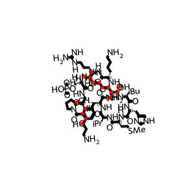 CCC(C)[C@H](NC(=O)[C@@H](N)CCCNC(=N)N)C(=O)N[C@H](Cc1c[nH]cn1)C(=O)N[C@@H](CCSC)C(=O)N[C@H](C(=O)N[C@@H](Cc1ccc(O)cc1)C(=O)N[C@@H](CO)C(=O)N[C@@H](CCCCN)C(=O)N[C@@H](CCCNC(=N)N)C(=O)N[C@@H](COP(=O)(O)O)C(=O)NCC(=O)N[C@@H](CCCCN)C(=O)N1CCC[C@H]1C)C(C)C